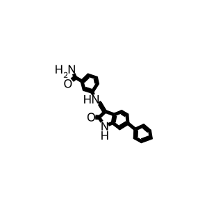 NC(=O)c1cccc(NC=C2C(=O)Nc3cc(-c4ccccc4)ccc32)c1